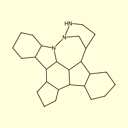 C1CCC2C(C1)C1C3CCNN(C3)N3C4CCCCC4C4C5CCCC5C2C1C43